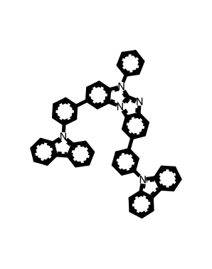 c1ccc(-n2c3ccc(-c4cccc(-n5c6ccccc6c6ccccc65)c4)cc3n3c4cc(-c5cccc(-n6c7ccccc7c7ccccc76)c5)ccc4nc23)cc1